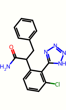 NC(=O)C(Cc1ccccc1)c1cccc(Cl)c1-c1nnn[nH]1